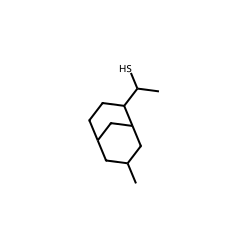 CC1CC2CCC(C(C)S)C(C1)C2